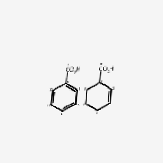 O=C(O)C1C=CCCC1.O=C(O)c1ccccc1